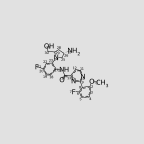 COc1cccc(F)c1-c1nccc(C(=O)Nc2ccc(F)cc2N2C[C@@H](N)CC2CO)n1